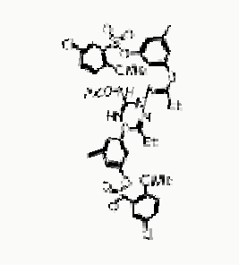 CCC(=NN(N=C(CC)Oc1cc(C)cc(OS(=O)(=O)c2cc(Cl)ccc2OC)c1)C(=N)NOC(C)=O)Oc1cc(C)cc(OS(=O)(=O)c2cc(Cl)ccc2OC)c1